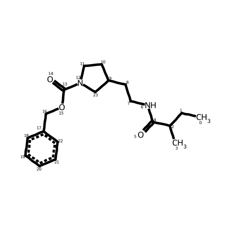 CCC(C)C(=O)NCCC1CCN(C(=O)OCc2ccccc2)C1